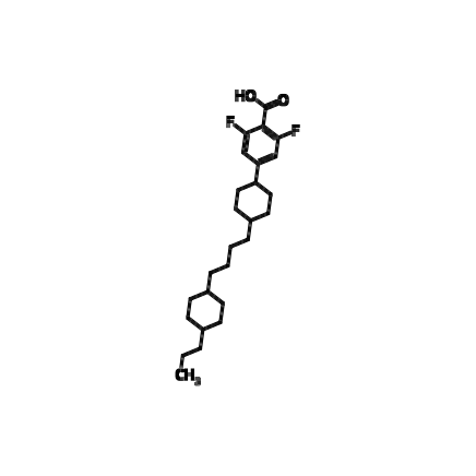 CCCC1CCC(CCCCC2CCC(c3cc(F)c(C(=O)O)c(F)c3)CC2)CC1